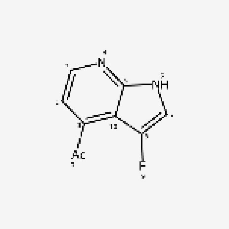 CC(=O)c1ccnc2[nH]cc(F)c12